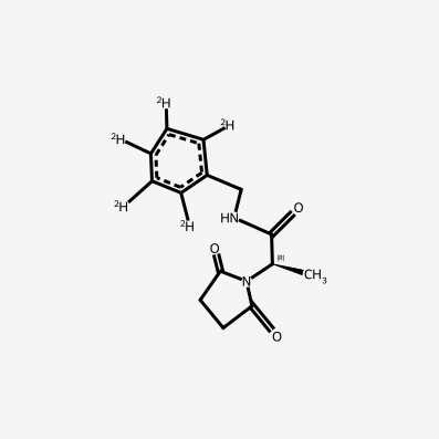 [2H]c1c([2H])c([2H])c(CNC(=O)[C@@H](C)N2C(=O)CCC2=O)c([2H])c1[2H]